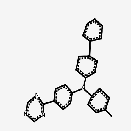 Cc1ccc(N(c2ccc(-c3ccccc3)cc2)c2ccc(-c3ncncn3)cc2)cc1